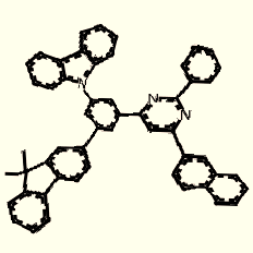 CC1(C)c2ccccc2-c2ccc(-c3cc(-c4cc(-c5ccc6ccccc6c5)nc(-c5ccccc5)n4)cc(-n4c5ccccc5c5ccccc54)c3)cc21